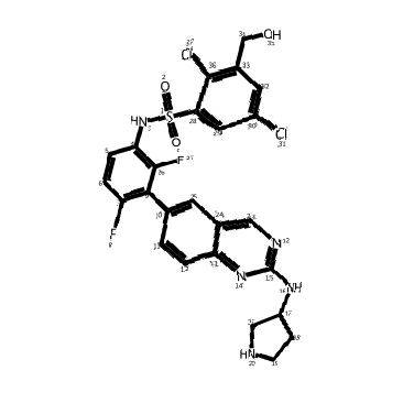 O=S(=O)(Nc1ccc(F)c(-c2ccc3nc(NC4CCNC4)ncc3c2)c1F)c1cc(Cl)cc(CO)c1Cl